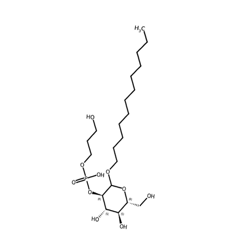 CCCCCCCCCCCCOC1O[C@H](CO)[C@@H](O)[C@H](O)[C@H]1OP(=O)(O)OCCCO